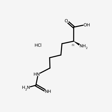 Cl.N=C(N)NCCCC[C@H](N)C(=O)O